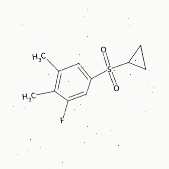 Cc1cc(S(=O)(=O)C2CC2)cc(F)c1C